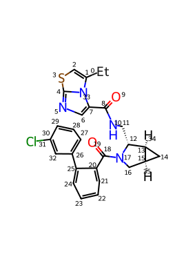 CCc1csc2ncc(C(=O)NC[C@@H]3[C@H]4C[C@H]4CN3C(=O)c3ccccc3-c3cccc(Cl)c3)n12